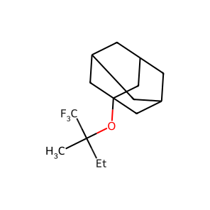 CCC(C)(OC12CC3CC(CC(C3)C1)C2)C(F)(F)F